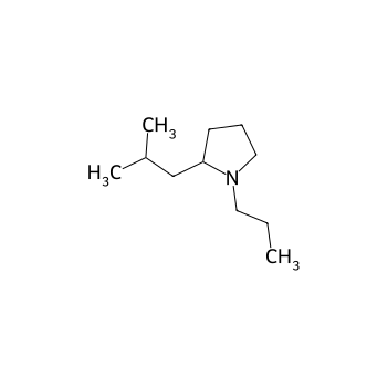 CCCN1CCCC1CC(C)C